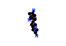 CC1CC=C(c2ccc3c4ccccc4n(-c4ccccc4-c4cc(-c5cccc(-n6c7ccccc7c7cc(C#N)ccc76)c5C#N)ccc4C#N)c3c2)c2c1n(-c1cccc(C3C=C(C#N)C=C(c4ccccc4N4c5ccccc5C5C=CC=CC54)C3C)c1C#N)c1ccc(C#N)cc21